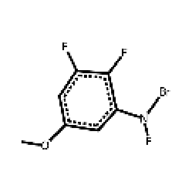 COc1cc(F)c(F)c(N(F)Br)c1